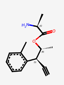 C#C[C@@H](c1ccccc1C)[C@@H](C)OC(=O)[C@H](C)N